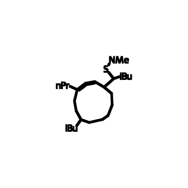 CCCC1=C=CC(C(SNC)C(C)CC)CCCCCC(C(C)CC)CC1